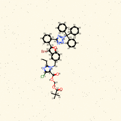 CCc1nc(Cl)c(C(=O)OCOC(=O)C(C)(C)C)n1Cc1ccc2oc(-c3ccccc3-c3nnn(C(c4ccccc4)(c4ccccc4)c4ccccc4)n3)c(Br)c2c1